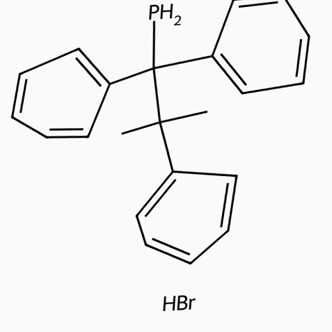 Br.CC(C)(c1ccccc1)C(P)(c1ccccc1)c1ccccc1